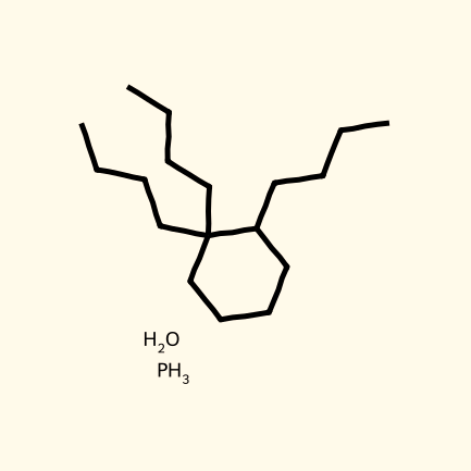 CCCCC1CCCCC1(CCCC)CCCC.O.P